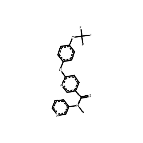 CN(C(=O)c1ccc(Oc2ccc(OC(F)(F)F)cc2)nc1)c1cccnc1